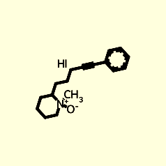 C[N+]1([O-])CCCCC1CCCC#Cc1ccccc1.I